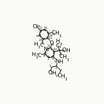 CCC(CO)Nc1cc(C)nc(Oc2c(C)cc(Cl)cc2C)c1C(C)(C)O